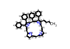 C=CC=CC1=C(c2ccccc2)C2=C(c3ccccc3)C3=NC(=CC4=NC(=CC5=NC(=CC1=N2)C=C5)C=C4)C(c1ccccc1)=C3c1ccccc1